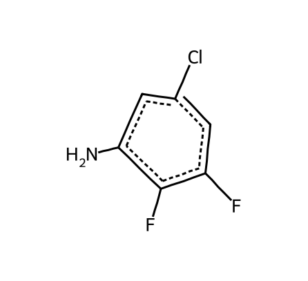 Nc1cc(Cl)cc(F)c1F